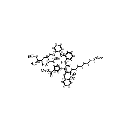 CCCCCCCCCCCCCCCCCCN1C(C(C(=O)Nc2ccccc2Oc2ccccc2OCC(CCC(C)CC(C)(C)C)C(C)CC(C)(C)C)n2cc(C(=O)OC)cn2)=Nc2ccccc2S1(=O)=O